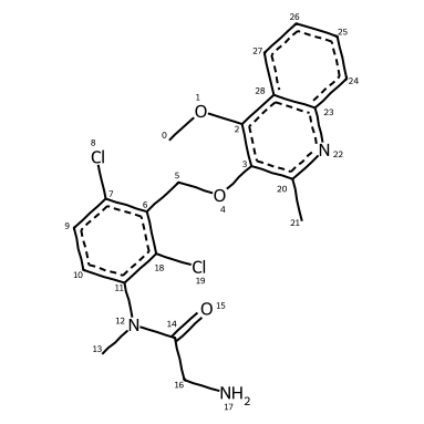 COc1c(OCc2c(Cl)ccc(N(C)C(=O)CN)c2Cl)c(C)nc2ccccc12